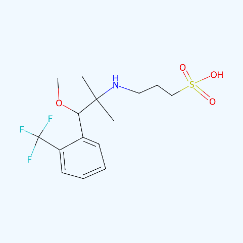 COC(c1ccccc1C(F)(F)F)C(C)(C)NCCCS(=O)(=O)O